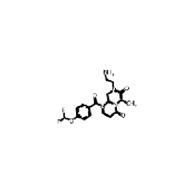 CC1C(=O)N(CCN)CC2N(C(=O)c3ccc(OC(F)F)cc3)CCC(=O)N12